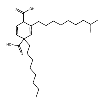 CCCCCCCCC1(C(=O)O)C=CC(C(=O)O)C(CCCCCCCC(C)C)=C1